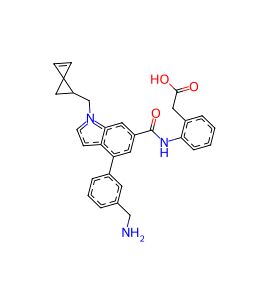 NCc1cccc(-c2cc(C(=O)Nc3ccccc3CC(=O)O)cc3c2ccn3CC2CC23C=C3)c1